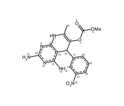 COC(=O)OC1=C(C)Nc2nc(N)nc(N)c2C1c1cccc([N+](=O)[O-])c1